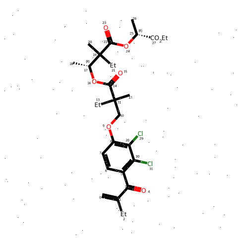 C=C(CC)C(=O)c1ccc(OCC(C)(CC)C(=O)O[C@H](C)C(C)(CC)C(=O)O[C@H](C)C(=O)OCC)c(Cl)c1Cl